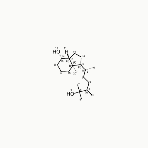 C[C@H](CC[C@@H](C)C(C)(C)O)[C@H]1CC[C@H]2[C@@H](O)CCC[C@]12C